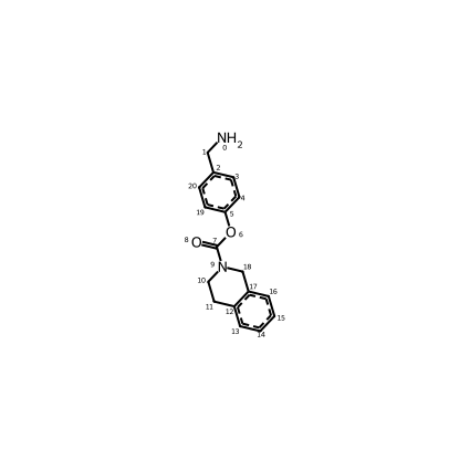 NCc1ccc(OC(=O)N2CCc3ccccc3C2)cc1